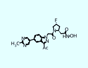 CC(=O)c1nn(CC(=O)N2C[C@H](F)C[C@H]2CC(=O)NO)c2ccc(-c3cnc(C)nc3)cc12